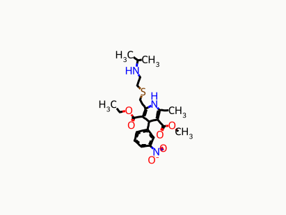 CCOC(=O)C1=C(CSCCNC(C)C)NC(C)=C(C(=O)OC)C1c1cccc([N+](=O)[O-])c1